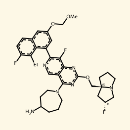 CCc1c(F)ccc2cc(OCOC)cc(-c3ncc4c(N5CCCC(N)CC5)nc(OC[C@@]56CCCN5C[C@H](F)C6)nc4c3F)c12